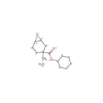 CC1(C(=O)OC2CCCCC2)CCC2OC2C1.O